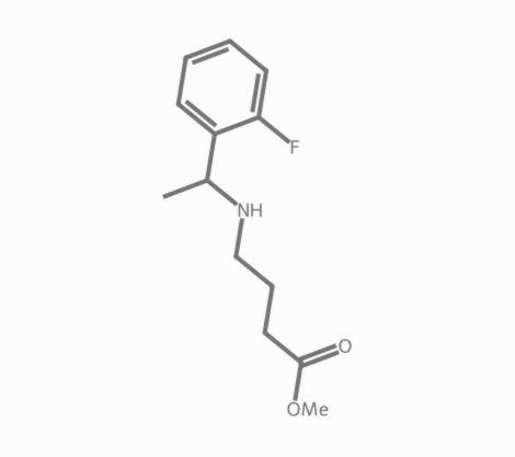 COC(=O)CCCNC(C)c1ccccc1F